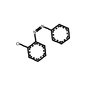 Clc1ccccc1/N=N\c1ccccc1